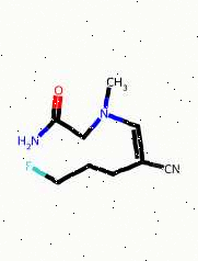 CN(C=C(C#N)CCCF)CC(N)=O